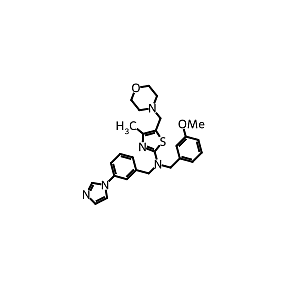 COc1cccc(CN(Cc2cccc(-n3ccnc3)c2)c2nc(C)c(CN3CCOCC3)s2)c1